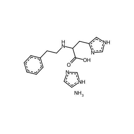 N.O=C(O)C(Cc1c[nH]cn1)NCCc1ccccc1.c1c[nH]cn1